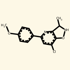 COc1ccc(-c2cc(Cl)c3c(n2)C(C)NO3)cc1